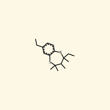 CCc1ccc2c(c1)SC(C)(C)C(C)C(C)(CC)S2